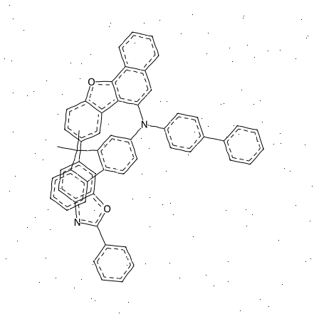 CC1(C)c2ccccc2-c2ccc(N(c3ccc(-c4ccccc4)cc3)c3cc4ccccc4c4oc5ccc(-c6ccc7nc(-c8ccccc8)oc7c6)cc5c34)cc21